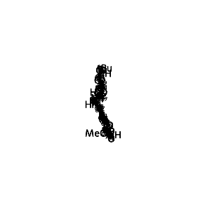 COc1ccc(C(=O)N2CCC3(CCN(CCc4ccc(-c5cc6c(-c7cc(F)cc(NC(=O)c8ccc(C(C)(C)OC(=O)C(C)(C)CNC(=O)OC(C)(C)C)cc8F)c7C)ncnc6[nH]5)cc4)CC3)CC2)cc1N1CCC(=O)NC1=O